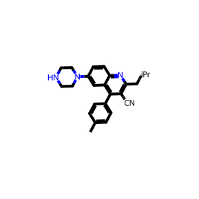 Cc1ccc(-c2c(C#N)c(CC(C)C)nc3ccc(N4CCNCC4)cc23)cc1